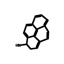 [NH]C1CC=c2ccc3cccc4ccc1c2c43